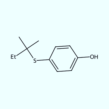 CCC(C)(C)Sc1ccc(O)cc1